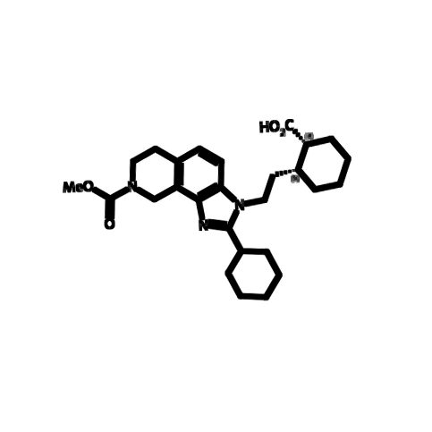 COC(=O)N1CCc2ccc3c(nc(C4CCCCC4)n3CC[C@H]3CCCC[C@H]3C(=O)O)c2C1